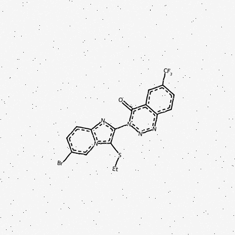 CCSc1c(-n2nnc3ccc(C(F)(F)F)cc3c2=O)nc2ccc(Br)cn12